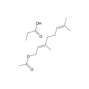 CC(=O)OC/C=C(\C)CCC=C(C)C.CCC(=O)O